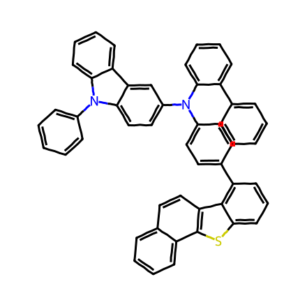 c1ccc(-c2ccccc2N(c2ccc(-c3cccc4sc5c6ccccc6ccc5c34)cc2)c2ccc3c(c2)c2ccccc2n3-c2ccccc2)cc1